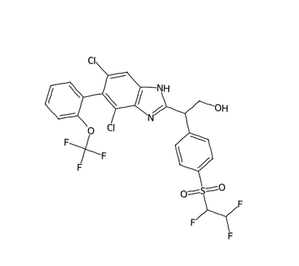 O=S(=O)(c1ccc(C(CO)c2nc3c(Cl)c(-c4ccccc4OC(F)(F)F)c(Cl)cc3[nH]2)cc1)C(F)C(F)F